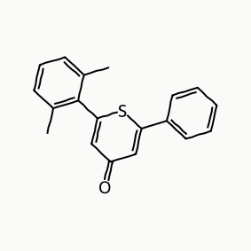 Cc1cccc(C)c1-c1cc(=O)cc(-c2ccccc2)s1